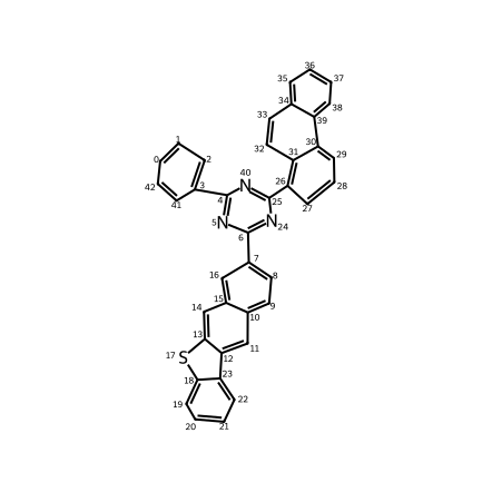 c1ccc(-c2nc(-c3ccc4cc5c(cc4c3)sc3ccccc35)nc(-c3cccc4c3ccc3ccccc34)n2)cc1